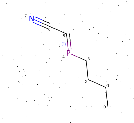 CCCC/P=C/C#N